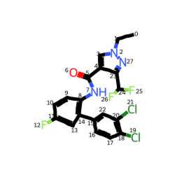 CCn1cc(C(=O)Nc2ccc(F)cc2-c2ccc(Cl)c(Cl)c2)c(C(F)F)n1